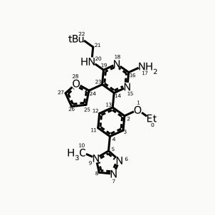 CCOc1cc(-c2nncn2C)ccc1-c1nc(N)nc(NCC(C)(C)C)c1-c1ccco1